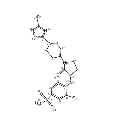 CC(C)c1nsc(N2CCC(N3CCC(Nc4ccc(S(C)(=O)=O)cc4F)C3=O)CC2)n1